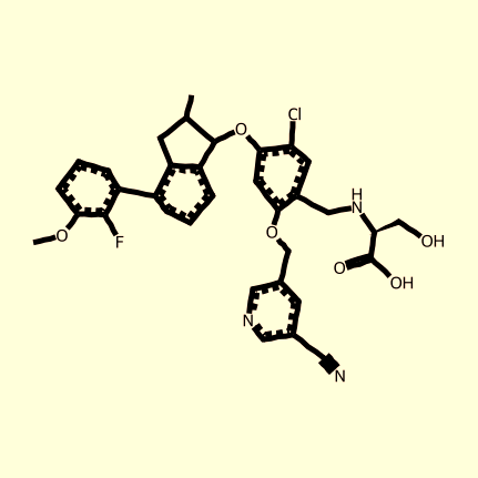 COc1cccc(-c2cccc3c2CC(C)C3Oc2cc(OCc3cncc(C#N)c3)c(CN[C@@H](CO)C(=O)O)cc2Cl)c1F